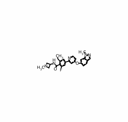 CCc1cc(-c2cc(Oc3ccc4cnn(C)c4c3)ccn2)cc(F)c1C(=O)NC1CN(C)C1